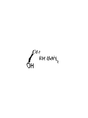 OO.[BaH2].[KH]